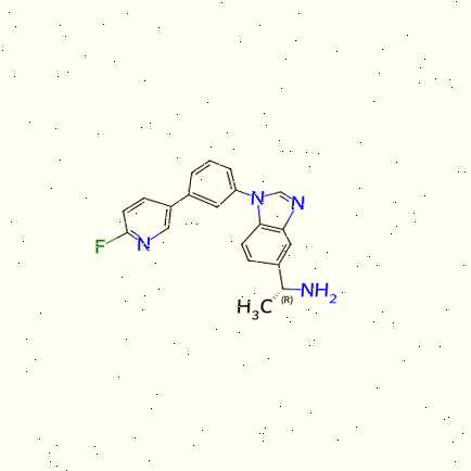 C[C@@H](N)c1ccc2c(c1)ncn2-c1cccc(-c2ccc(F)nc2)c1